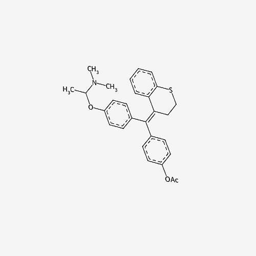 CC(=O)Oc1ccc(C(=C2CCSc3ccccc32)c2ccc(OC(C)N(C)C)cc2)cc1